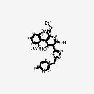 CCOCc1nc(O)c(-c2nnc(Cc3ccc(F)nc3)o2)c(O)c1-c1c(OC)cccc1OC